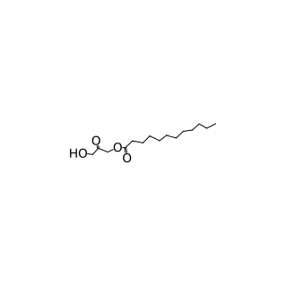 CCCCCCCCCCCC(=O)OCC(=O)CO